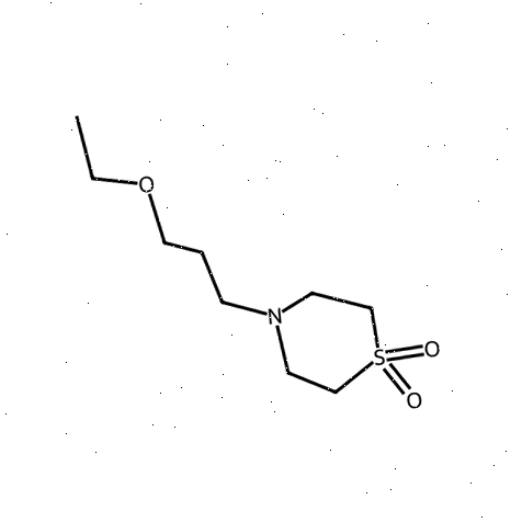 CCOCCCN1CCS(=O)(=O)CC1